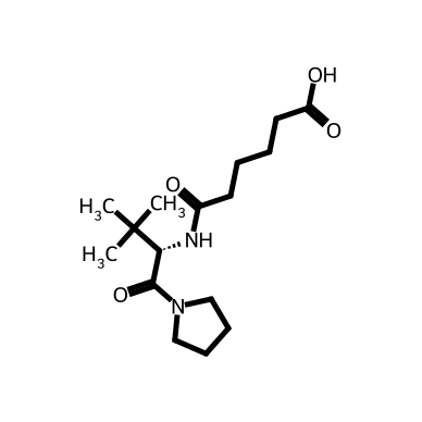 CC(C)(C)[C@H](NC(=O)CCCCC(=O)O)C(=O)N1CCCC1